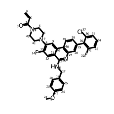 C=CC(=O)N1CCN(c2cc3c(cc2F)c(NCc2ccc(OC)cc2)nc2cc(-c4c(F)cccc4Cl)ccc23)CC1